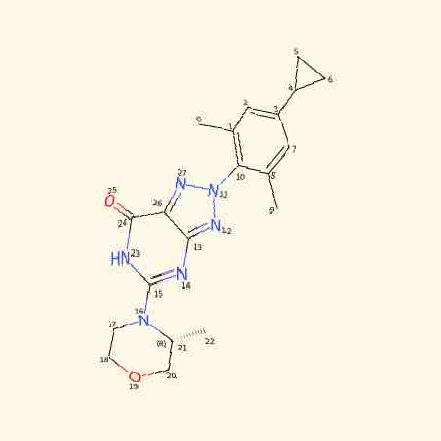 Cc1cc(C2CC2)cc(C)c1-n1nc2nc(N3CCOC[C@H]3C)[nH]c(=O)c2n1